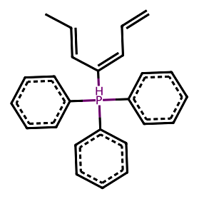 C=C/C=C(\C=C\C)[PH](c1ccccc1)(c1ccccc1)c1ccccc1